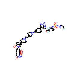 O=C1CCC(N2Cc3cc(C4CCN(CCC5CCN(c6ccc(-c7cnc8[nH]cc(C(=O)c9c(F)ccc(NS(=O)(=O)N%10CC[C@@H](F)C%10)c9F)c8c7)cc6)CC5)CC4)ccc3C2=O)C(=O)N1